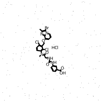 Cc1nc2c(OCc3c(Cl)ccc(N(C)C(=O)CNC(=O)Nc4cccc(C(=O)O)c4)c3Cl)cccn2c1Br.Cl